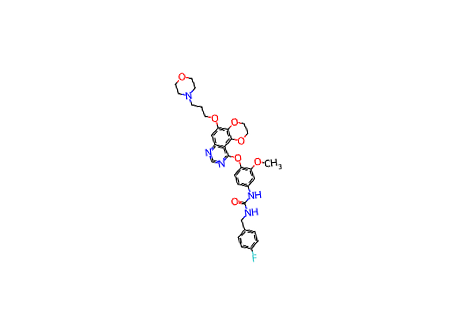 COc1cc(NC(=O)NCc2ccc(F)cc2)ccc1Oc1ncnc2cc(OCCCN3CCOCC3)c3c(c12)OCCO3